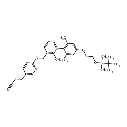 Cc1cc(OCCO[Si](C)(C)C(C)(C)C)cc(C)c1-c1cccc(COc2ccc(CCC#N)cn2)c1C